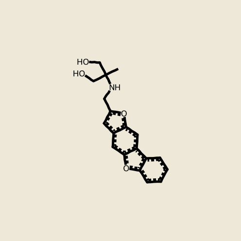 CC(CO)(CO)NCc1cc2cc3oc4ccccc4c3cc2o1